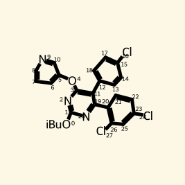 CC(C)COc1nc(Oc2cccnc2)c(-c2ccc(Cl)cc2)c(-c2ccc(Cl)cc2Cl)n1